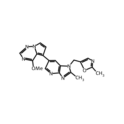 COc1ncnn2ccc(-c3cnc4nc(C)n(Cc5cnc(C)o5)c4c3)c12